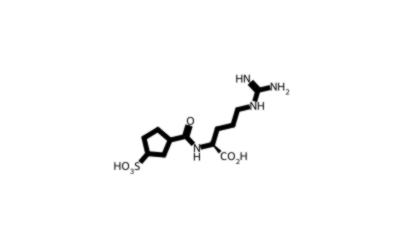 N=C(N)NCCC[C@H](NC(=O)C1CCC(S(=O)(=O)O)C1)C(=O)O